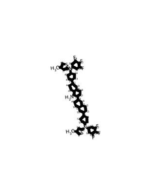 Cc1csc(N(c2ccc(-c3ccc4cc(-c5ccc6cc(-c7ccc(N(c8cc(F)c(F)c(F)c8)c8cc(C)cs8)cc7)ccc6c5N)ccc4c3)cc2)c2cc(F)c(F)c(F)c2)c1